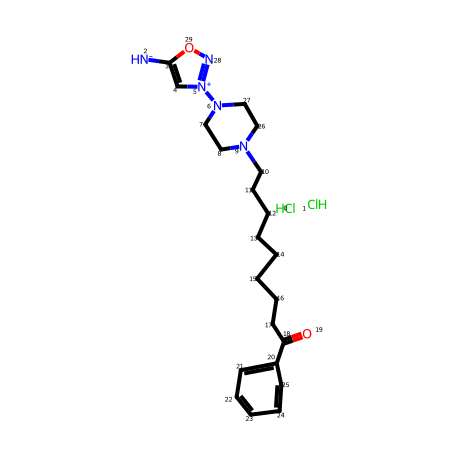 Cl.Cl.[NH-]c1c[n+](N2CCN(CCCCCCCCC(=O)c3ccccc3)CC2)no1